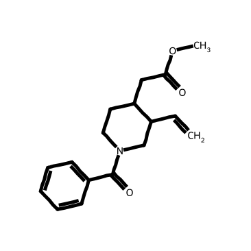 C=CC1CN(C(=O)c2ccccc2)CCC1CC(=O)OC